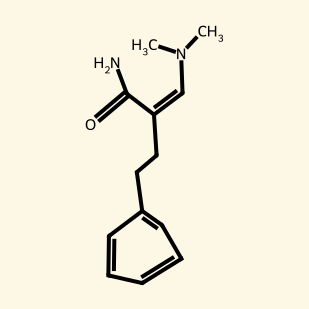 CN(C)C=C(CCc1ccccc1)C(N)=O